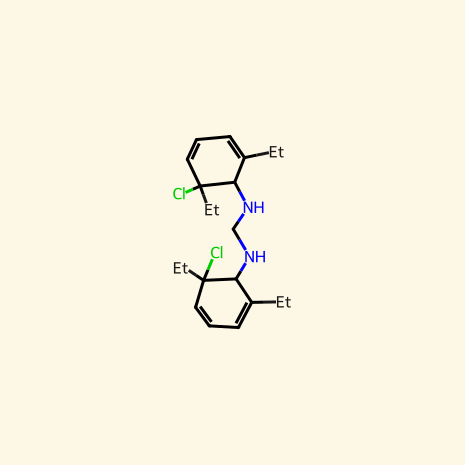 CCC1=CC=CC(Cl)(CC)C1NCNC1C(CC)=CC=CC1(Cl)CC